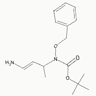 CC(C=CN)N(OCc1ccccc1)C(=O)OC(C)(C)C